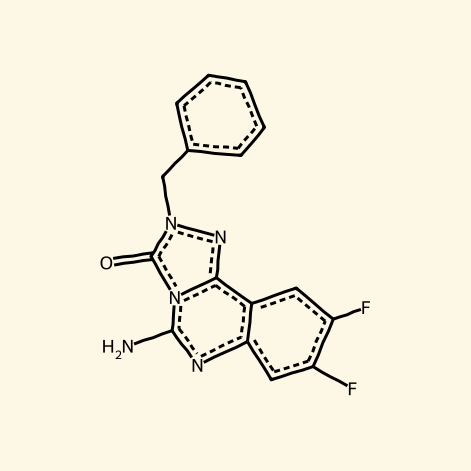 Nc1nc2cc(F)c(F)cc2c2nn(Cc3ccccc3)c(=O)n12